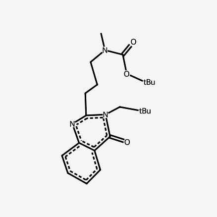 CN(CCCc1nc2ccccc2c(=O)n1CC(C)(C)C)C(=O)OC(C)(C)C